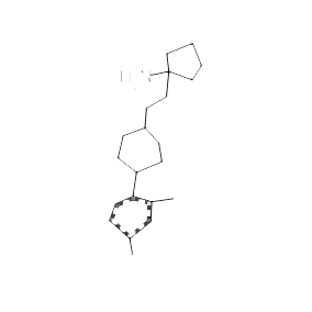 Cc1cc(F)ccc1C1CCC(CCC2(N)CCCC2)CC1